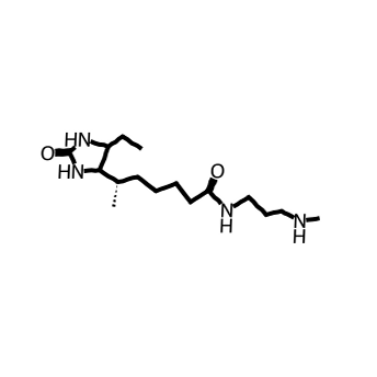 CCC1NC(=O)NC1[C@@H](C)CCCCC(=O)NCCCNC